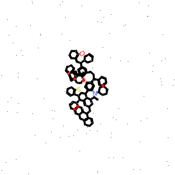 C=C1C(C2=CCCC=C2)c2cc(C3CC4=C(CCCC4)OC4C=CCCC43)cc3c2B(c2cc4c(cc2C(C2=CC=CCC2)CC3)N(C2CCCCC2)C(C)C2CC(CC3C5=C(CCC=C5)CC5C=CCCC53)C=C3C(C5C=CCCC5)C5C6=C(CCC=C6)SC5C4C32)C2CC(C)C3C=CC=CC3C12